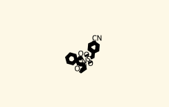 N#Cc1ccc(CS(=O)(=O)NC(=O)C2(c3ccco3)CCCCC2)cc1